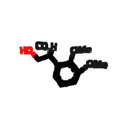 COc1cccc(C(CO)C(=O)O)c1OC